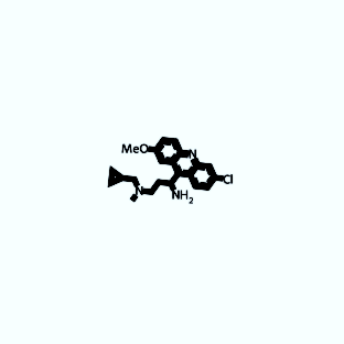 COc1ccc2nc3cc(Cl)ccc3c(C(N)CCN(C)CC3CC3)c2c1